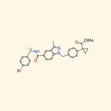 COC(=O)C1(c2ccc(Cn3nc(C)c4cc(C(=O)N[C@@H](C)c5ccc(Br)cc5)ccc43)cc2)CC1